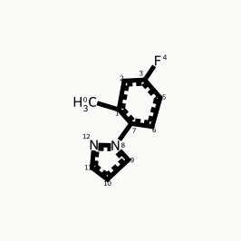 Cc1cc(F)ccc1-n1cccn1